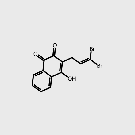 O=C1C(=O)c2ccccc2C(O)=C1CC=C(Br)Br